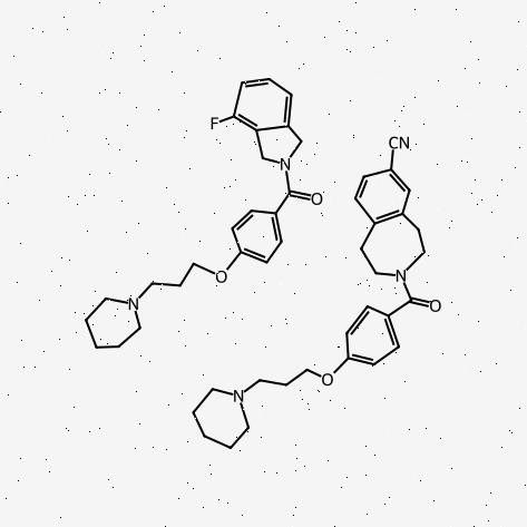 N#Cc1ccc2c(c1)CCN(C(=O)c1ccc(OCCCN3CCCCC3)cc1)CC2.O=C(c1ccc(OCCCN2CCCCC2)cc1)N1Cc2cccc(F)c2C1